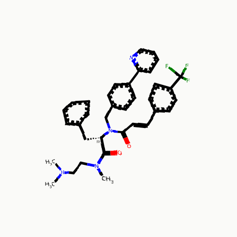 CN(C)CCN(C)C(=O)[C@H](Cc1ccccc1)N(Cc1ccc(-c2ccccn2)cc1)C(=O)C=Cc1ccc(C(F)(F)F)cc1